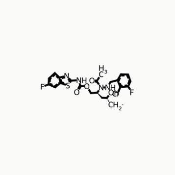 [CH2][C@@H](O)C[C@@H](COC(=O)Nc1nc2ccc(F)cc2s1)N(NCc1cccc(F)c1Cl)C(C)=O